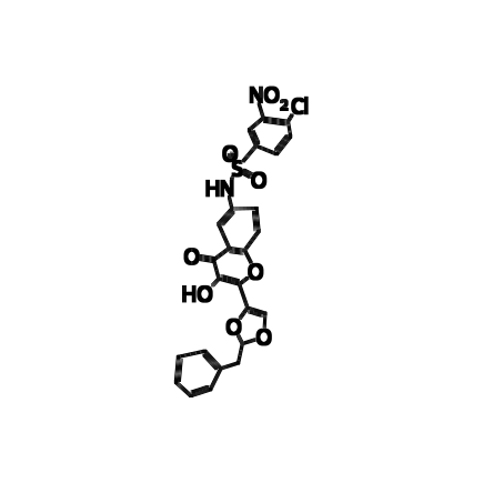 O=c1c(O)c(C2=COC(Cc3ccccc3)O2)oc2ccc(NS(=O)(=O)c3ccc(Cl)c([N+](=O)[O-])c3)cc12